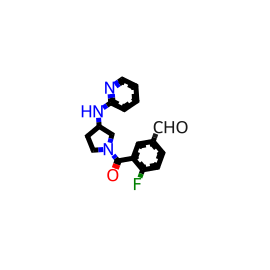 O=Cc1ccc(F)c(C(=O)N2CCC(Nc3ccccn3)C2)c1